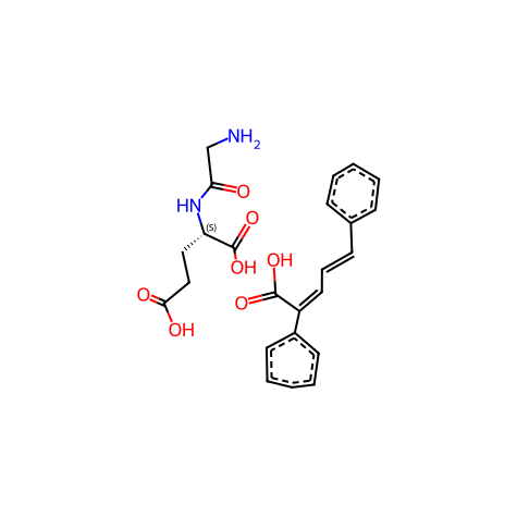 NCC(=O)N[C@@H](CCC(=O)O)C(=O)O.O=C(O)C(=CC=Cc1ccccc1)c1ccccc1